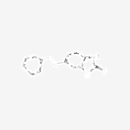 O=c1[nH]c2ccc(OCc3ccccc3)cc2o1